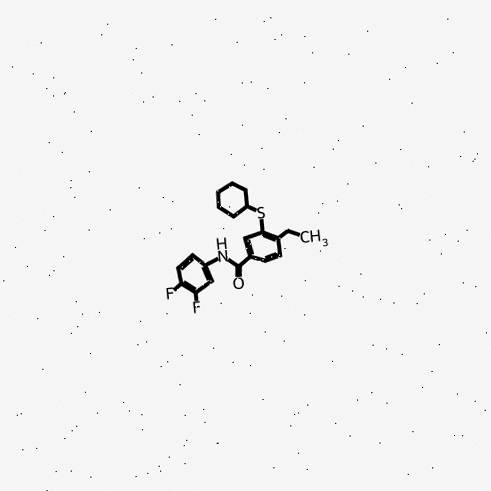 CCc1ccc(C(=O)Nc2ccc(F)c(F)c2)cc1SC1CCCCC1